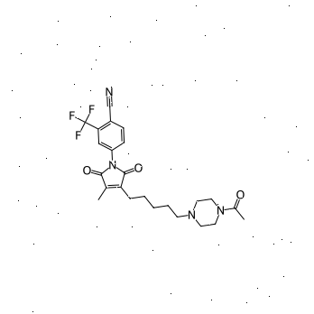 CC(=O)N1CCN(CCCCCC2=C(C)C(=O)N(c3ccc(C#N)c(C(F)(F)F)c3)C2=O)CC1